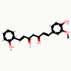 COc1cc(/C=C/C(=O)CC(=O)/C=C/c2ccccc2O)ccc1O